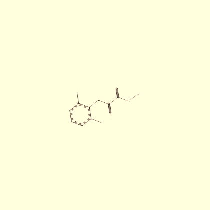 Cc1cccc(C)c1CC(=O)C(=O)NC(C)C